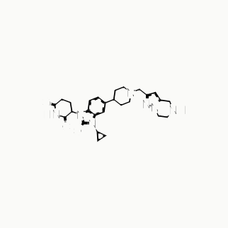 O=C1CCC(n2c(=O)n(C3CC3)c3cc(C4CCN(Cc5cc6n(n5)CCNC6)CC4)ccc32)C(=O)N1